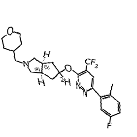 [2H]C1(Oc2nnc(-c3cc(F)ccc3C)cc2C(F)(F)F)C[C@H]2CN(CC3CCOCC3)C[C@H]2C1